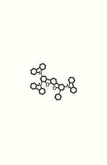 c1ccc(-c2cc(-n3c4ccccc4c4ccccc43)cc3c2oc2c3ccc3c4cc(-n5c6ccccc6c6ccccc65)cc(-n5c6ccccc6c6ccccc65)c4oc32)cc1